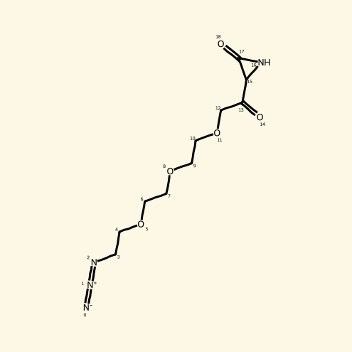 [N-]=[N+]=NCCOCCOCCOCC(=O)C1NC1=O